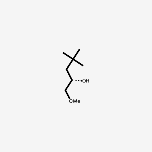 COC[C@@H](O)CC(C)(C)C